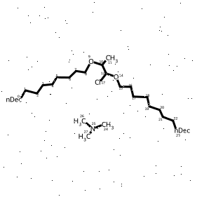 CCCCCCCCCCCCCCCCCCOC(C)C(Cl)OCCCCCCCCCCCCCCCCCC.CN(C)C